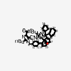 CCCCC(=O)c1nc(CCCC)n(Cc2ccc(-c3ccccc3-c3nnnn3C(c3ccccc3)(c3ccccc3)c3ccccc3)cc2)c1C#N